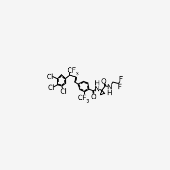 O=C(NC1(C(=O)NCC(F)F)CC1)c1ccc(/C=C/C(c2cc(Cl)c(Cl)c(Cl)c2)C(F)(F)F)cc1C(F)(F)F